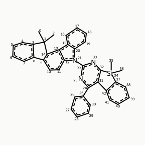 CC1(C)c2ccccc2-c2ccc3c(c21)c1ccccc1n3-c1nc(-c2ccccc2)c2c(n1)[Si](C)(C)c1ccccc1-2